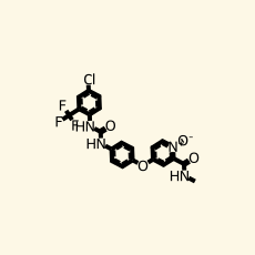 CNC(=O)c1cc(Oc2ccc(NC(=O)Nc3ccc(Cl)cc3C(F)(F)F)cc2)cc[n+]1[O-]